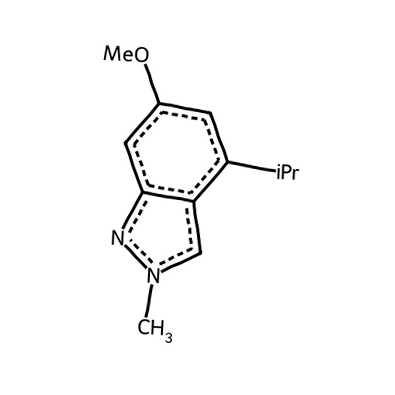 COc1cc(C(C)C)c2cn(C)nc2c1